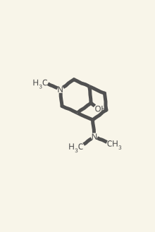 CN1CC2CCC(N(C)C)C(C1)C2O